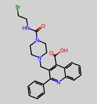 O=C(O)c1c(CN2CCN(C(=O)NCCBr)CC2)c(-c2ccccc2)nc2ccccc12